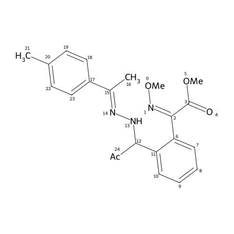 CON=C(C(=O)OC)c1ccccc1C(NN=C(C)c1ccc(C)cc1)C(C)=O